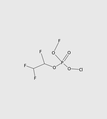 O=P(OF)(OCl)OC(F)C(F)F